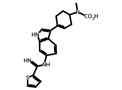 CN(C(=O)O)C1CC=C(c2c[nH]c3cc(NC(=N)c4cccs4)ccc23)CC1